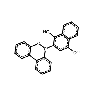 Oc1cc(P2Oc3ccccc3-c3ccccc32)c(O)c2ccccc12